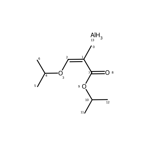 CC(=COC(C)C)C(=O)OC(C)C.[AlH3]